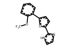 FC(F)(F)Oc1ccccc1-c1ccc(-c2ncc[nH]2)o1